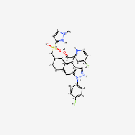 Cn1ccc(S(=O)(=O)CC2CCC3=Cc4c(cnn4-c4ccc(F)cc4)C[C@]3(C(=O)c3cc(F)ccn3)C2)n1